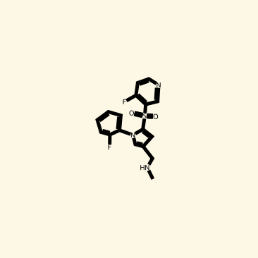 CNCc1cc(S(=O)(=O)c2cnccc2F)n(-c2ccccc2F)c1